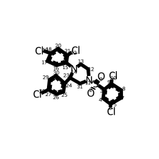 O=S(=O)(c1cc(Cl)ccc1Cl)N1CCN(c2ccc(Cl)cc2Cl)C(c2ccc(Cl)cc2)C1